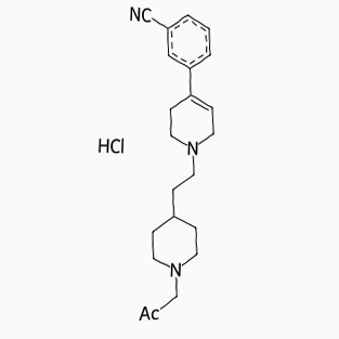 CC(=O)CN1CCC(CCN2CC=C(c3cccc(C#N)c3)CC2)CC1.Cl